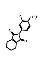 O=C(O)c1ccc(N2C(=O)C3=C(CCCC3)C2=O)cc1Br